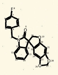 O=C1N(Cc2ccc(F)cc2)c2ccccc2C12COc1cc3c(cc12)OCO3